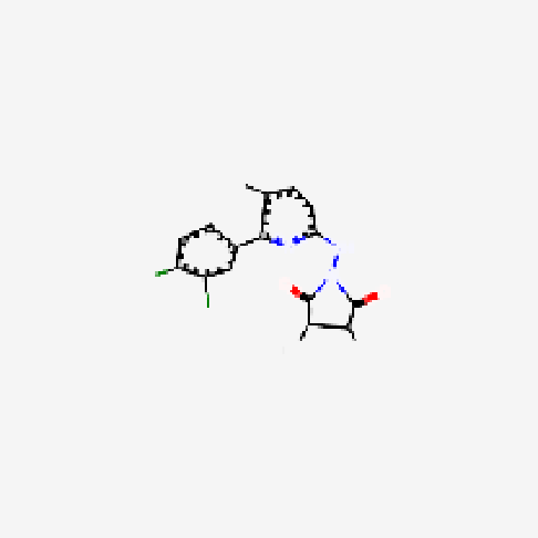 CC1C(=O)N(Nc2ccc(C(F)(F)F)c(-c3ccc(F)c(Cl)c3)n2)C(=O)C1C